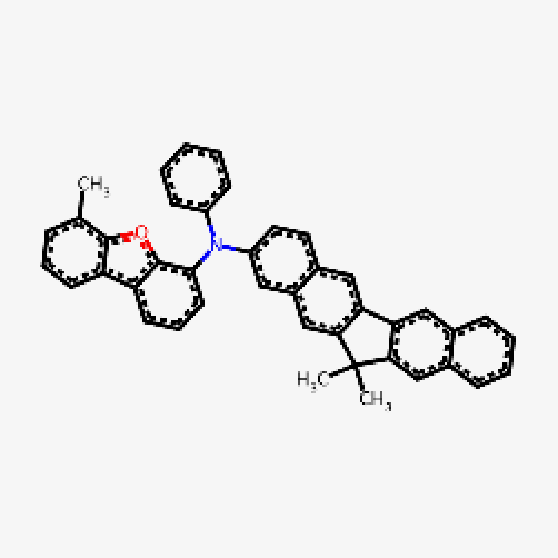 Cc1cccc2c1oc1c(N(c3ccccc3)c3ccc4cc5c(cc4c3)C(C)(C)c3cc4ccccc4cc3-5)cccc12